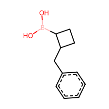 OB(O)C1CCC1Cc1ccccc1